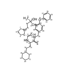 CC(C)(O)CCN1CSC[C@H]1C(=O)N[C@H](CCC1CCCCC1)C(=S)NCc1ccc(Oc2ccccc2)cc1